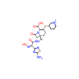 C[n+]1cccc(SC2=C(C(=O)O)N3C(=O)[C@@H](NC(=O)/C(=N\O)c4nsc(N)n4)[C@H]3CC2)c1